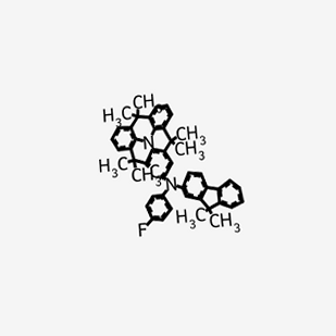 CC1(C)c2ccccc2-c2ccc(N(c3ccc(F)cc3)c3cc4c5c(c3)C(C)(C)c3cccc6c3N5c3c(cccc3C4(C)C)C6(C)C)cc21